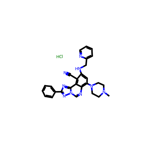 CN1CCN(c2cc(NCc3ccccn3)c(C#N)c3c2ncn2nc(-c4ccccc4)nc32)CC1.Cl